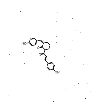 O=C(/C=C/c1ccc(O)cc1)C1CCC/C(=C/c2ccc(O)cc2)C1=O